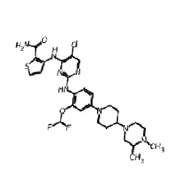 CC1CN(C2CCN(c3ccc(Nc4ncc(Cl)c(Nc5ccsc5C(N)=O)n4)c(OC(F)F)c3)CC2)CCN1C